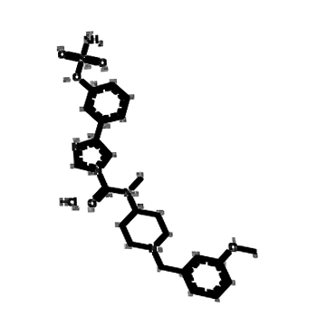 COc1cccc(CN2CCC(N(C)C(=O)n3cnc(-c4cccc(OS(N)(=O)=O)c4)c3)CC2)c1.Cl